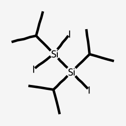 CC(C)[Si](I)(I)[Si](I)(C(C)C)C(C)C